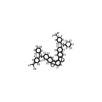 CC(C)c1ccc(N(C2=CC=CCC2)c2ccc3cc4c(cc3c2)oc2ccc3oc5cc6cc(N(c7ccccc7)c7ccc(C(C)C)cc7)ccc6cc5c3c24)cc1